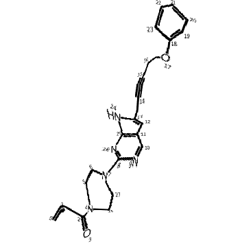 C=CC(=O)N1CCN(c2ncc3cc(C#CCOc4ccccc4)[nH]c3n2)CC1